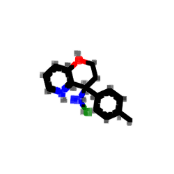 Cc1ccc([C@@]2(NCl)CCOc3cccnc32)cc1